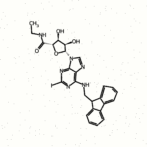 CCNC(=O)[C@H]1O[C@@H](n2cnc3c(NCC4c5ccccc5-c5ccccc54)nc(I)nc32)[C@H](O)[C@@H]1O